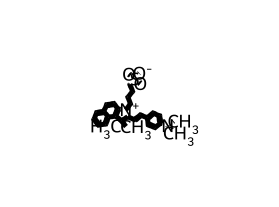 CN(C)c1ccc(/C=C/C2=[N+](CCCCS(=O)(=O)[O-])c3ccc4ccccc4c3C2(C)C)cc1